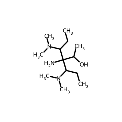 CCC(N(C)C)C(N)(C(C)O)C(CC)N(C)C